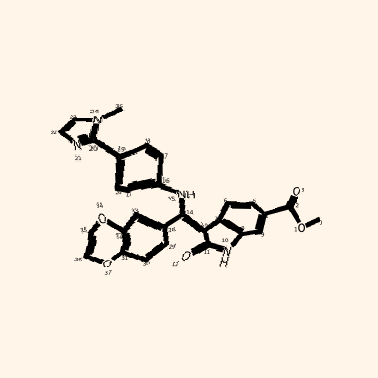 COC(=O)c1ccc2c(c1)NC(=O)C2=C(Nc1ccc(-c2nccn2C)cc1)c1ccc2c(c1)OC=CO2